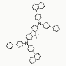 CC1(C)c2cc(N(c3ccc(-c4ccccc4)cc3)c3ccc(-c4cccc5ccccc45)cc3)ccc2-c2ccc(N(c3ccc(-c4ccccc4)cc3)c3ccc(-c4cccc5ccccc45)cc3)cc21